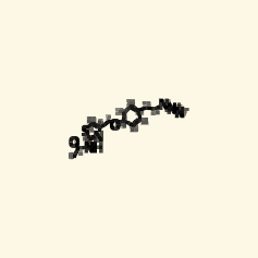 CC(=O)Nc1nc(COc2ccc(CCN=[N+]=[N-])cc2)cs1